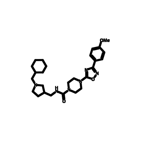 COc1ccc(-c2noc(N3CCN(C(=O)NCC4CCN(CC5CCCCC5)C4)CC3)n2)cc1